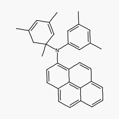 CC1=CC(C)(N(c2cc(C)cc(C)c2)c2ccc3ccc4cccc5ccc2c3c45)CC(C)=C1